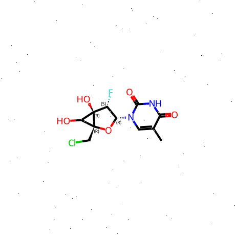 Cc1cn([C@@H]2O[C@]3(CCl)C(O)[C@]3(O)[C@@H]2F)c(=O)[nH]c1=O